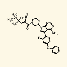 CN(C)C(C)(C)C=C(C#N)C(=O)N1CCCC(n2nc(-c3ccc(Oc4ccccc4)cc3F)c3c(N)ncnc32)C1